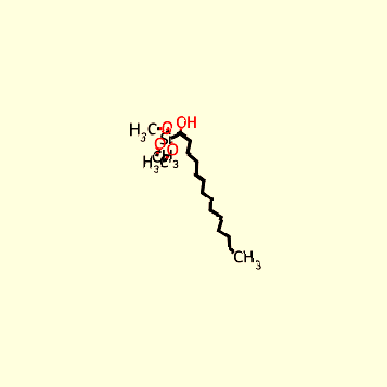 CCCCCCCCCCCCCC(O)[Si](OC)(OC)OC